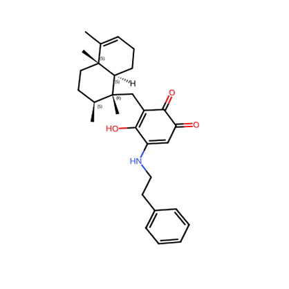 CC1=CCC[C@H]2[C@](C)(CC3=C(O)C(NCCc4ccccc4)=CC(=O)C3=O)[C@@H](C)CC[C@]12C